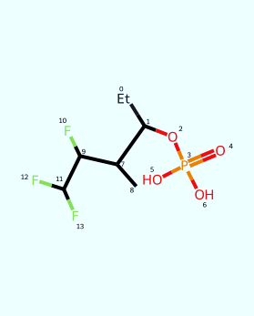 CCC(OP(=O)(O)O)C(C)C(F)C(F)F